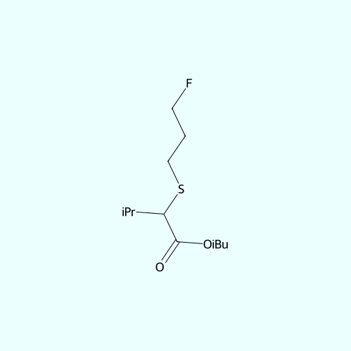 CC(C)COC(=O)C(SCCCF)C(C)C